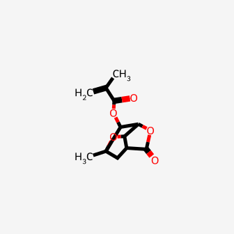 C=C(C)C(=O)OC1C2OC(=O)C3CC1(C)OC32